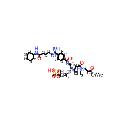 COC(=O)CCNC(=O)C1SC(=NC(=O)c2ccc(C(=N)NCCCC(=O)NC3CCCCC3)cc2)N(C)C1C.COS(=O)(=O)O